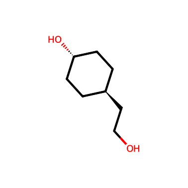 OCC[C@H]1CC[C@H](O)CC1